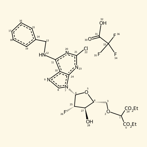 CCOC(=O)C(OC[C@H]1O[C@@H](n2cnc3c(NCc4ccccc4)nc(Cl)nc32)[C@@H](F)[C@@H]1O)C(=O)OCC.O=C(O)C(F)(F)F